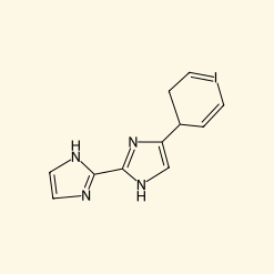 C1=CC(c2c[nH]c(-c3ncc[nH]3)n2)CC=I1